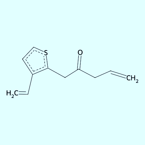 C=CCC(=O)Cc1sccc1C=C